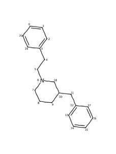 c1ccc(CCN2CCCC(Cc3ccccc3)C2)cc1